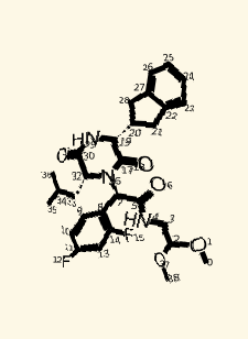 COC(CNC(=O)[C@@H](c1ccc(F)cc1F)N1C(=O)[C@@H](C2Cc3ccccc3C2)NC(=O)[C@H]1CC(C)C)OC